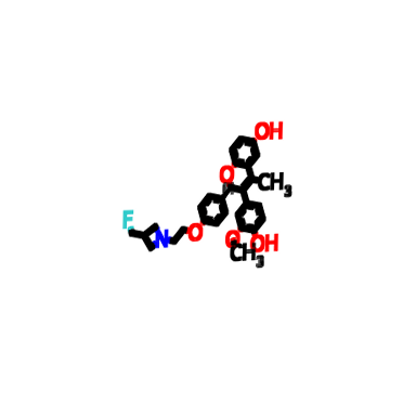 COc1cc(C2=C(C)c3cc(O)ccc3O[C@@H]2c2ccc(OCCN3CC(CF)C3)cc2)ccc1O